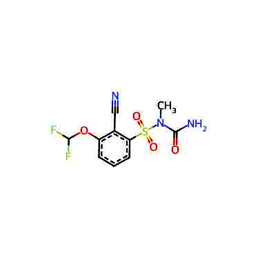 CN(C(N)=O)S(=O)(=O)c1cccc(OC(F)F)c1C#N